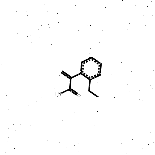 C=C(C(N)=O)c1ccccc1CC